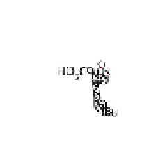 Cc1cccc2c1-c1c(C3CCCCC3)c3ccc(C(=O)O)cc3n1C[C@@H](N(C)CCN1CCC(N(C)C(=O)OC(C)(C)C)C1)CO2